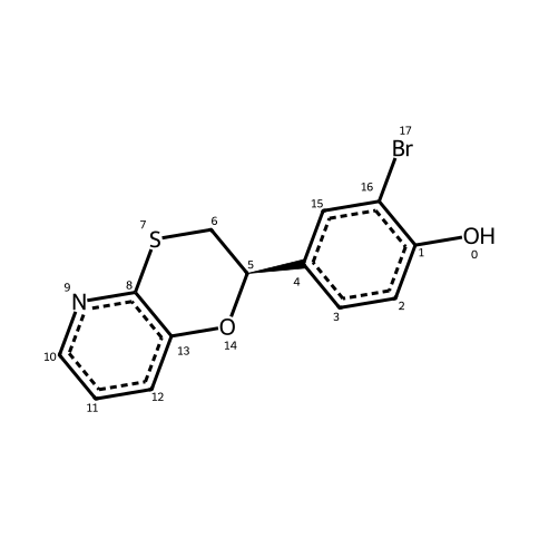 Oc1ccc([C@@H]2CSc3ncccc3O2)cc1Br